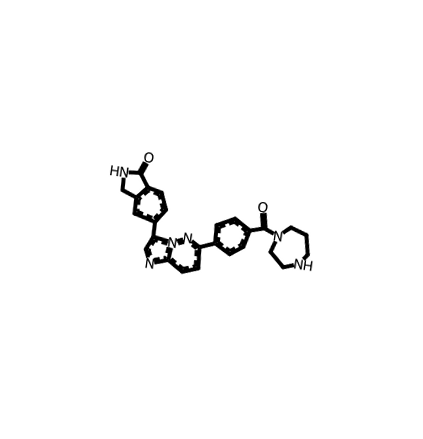 O=C1NCc2cc(-c3cnc4ccc(-c5ccc(C(=O)N6CCCNCC6)cc5)nn34)ccc21